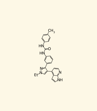 CCn1cc(-c2ccnc3[nH]ccc23)c(-c2cccc(NC(=O)Nc3ccc(C)cc3)c2)n1